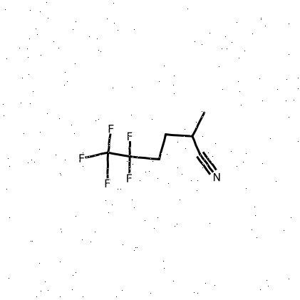 CC(C#N)CCC(F)(F)C(F)(F)F